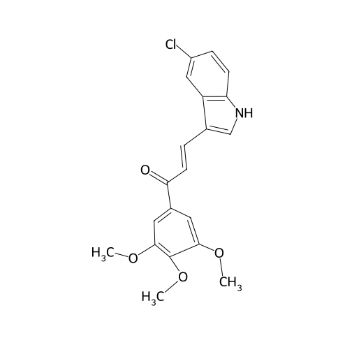 COc1cc(C(=O)C=Cc2c[nH]c3ccc(Cl)cc23)cc(OC)c1OC